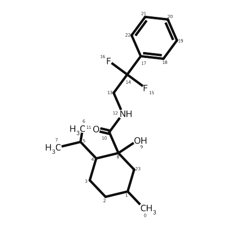 CC1CCC(C(C)C)C(O)(C(=O)NCC(F)(F)c2ccccc2)C1